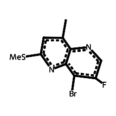 CSc1cc(C)c2ncc(F)c(Br)c2n1